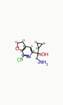 NCC(O)(c1cc2c(c(Cl)n1)OCC2)C1CC1